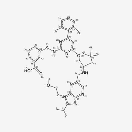 COCCn1c(C(C)C)cc2ncc(CNC(COc3cc(-c4c(C)cccc4C)nc(NSc4cccc(C(=O)O)c4)n3)CC(C)(C)C)nc21